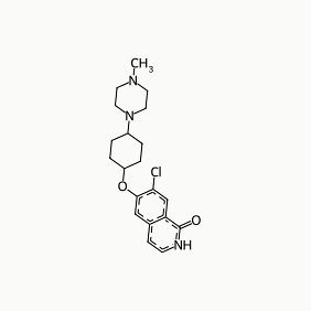 CN1CCN(C2CCC(Oc3cc4cc[nH]c(=O)c4cc3Cl)CC2)CC1